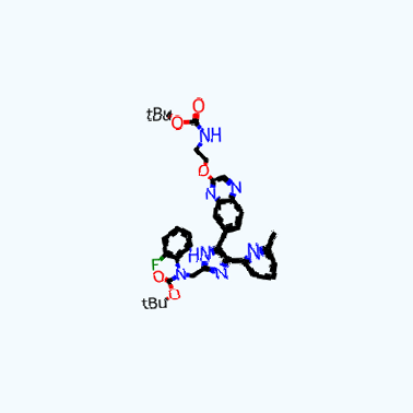 Cc1cccc(-c2nc(CN(C(=O)OC(C)(C)C)c3ccccc3F)[nH]c2-c2ccc3ncc(OCCNC(=O)OC(C)(C)C)nc3c2)n1